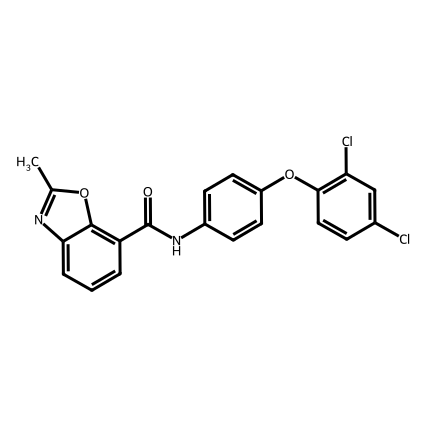 Cc1nc2cccc(C(=O)Nc3ccc(Oc4ccc(Cl)cc4Cl)cc3)c2o1